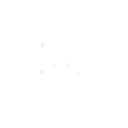 O=C(O)C(OC1=CC=CCC1)c1cc(O)c(SCCc2ccccc2)c(=O)o1